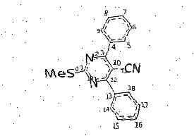 CSc1nc(-c2ccccc2)c(C#N)c(-c2ccccc2)n1